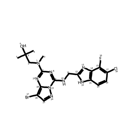 CN(CC(C)(C)O)c1nc(NCc2nc3c(F)c(Cl)ccc3[nH]2)n2ncc(Br)c2n1